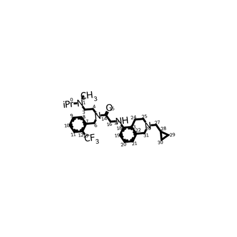 CC(C)N(C)CCN(Cc1ccccc1C(F)(F)F)C(=O)CNc1cccc2c1CCN(CC1CC1)C2